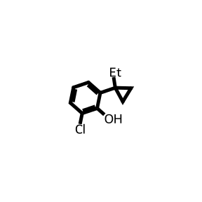 CCC1(c2cccc(Cl)c2O)CC1